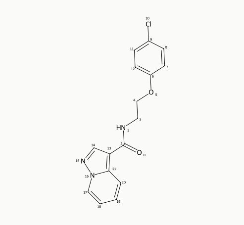 O=C(NCCOc1ccc(Cl)cc1)c1cnn2ccccc12